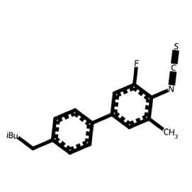 CCC(C)Cc1ccc(-c2cc(C)c(N=C=S)c(F)c2)cc1